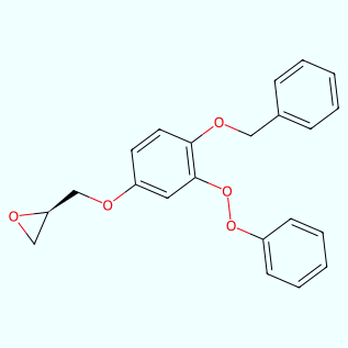 c1ccc(COc2ccc(OC[C@H]3CO3)cc2OOc2ccccc2)cc1